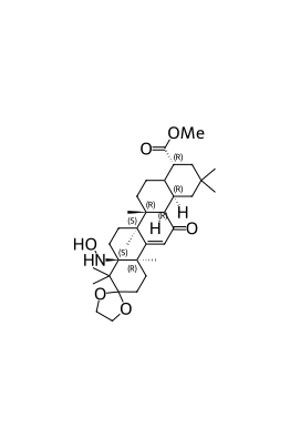 COC(=O)[C@@H]1CC(C)(C)C[C@@H]2C1CC[C@]1(C)[C@@H]2C(=O)C=C2[C@@]1(C)CC[C@@]1(NO)C(C)(C)C3(CC[C@]21C)OCCO3